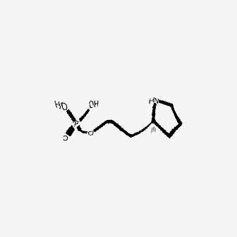 O=P(O)(O)OCC[C@@H]1CCCN1